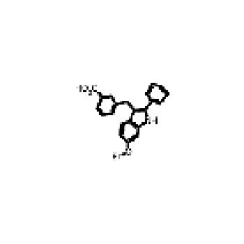 CCOc1ccc2c(Cc3cccc(C(=O)O)c3)c(-c3ccccc3)[nH]c2c1